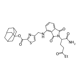 CCC(=O)CCC(C(N)=O)N1C(=O)c2cccc(NCc3csc(C(=O)OC45CC6CC(CC(C6)C4)C5)n3)c2C1=O